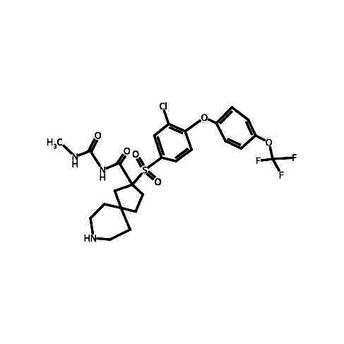 CNC(=O)NC(=O)C1(S(=O)(=O)c2ccc(Oc3ccc(OC(F)(F)F)cc3)c(Cl)c2)CCC2(CCNCC2)C1